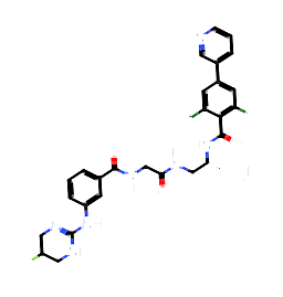 O=C(CNC(=O)c1cccc(NC2=NCC(F)CN2)c1)NC[C@H](NC(=O)c1c(Cl)cc(-c2cccnc2)cc1Cl)C(=O)O